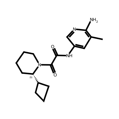 Cc1cc(NC(=O)C(=O)N2CCCC[C@H]2C2CCC2)cnc1N